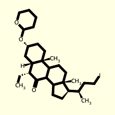 CC[C@H]1C(=O)C2C3CC[C@H]([C@H](C)CCI)[C@@]3(C)CCC2[C@@]2(C)CC[C@@H](OC3CCCCO3)C[C@@H]12